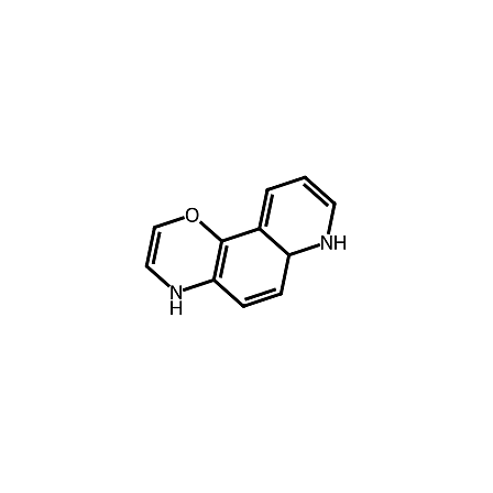 C1=CNC2C=CC3=C(OC=CN3)C2=C1